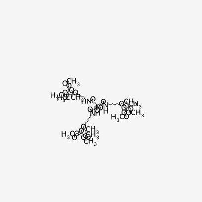 CC(=O)OCC1OC(OCCCCCCNC(=O)CCC(CCC(=O)NCCCCCCOC2OC(COC(C)=O)C(OC(C)=O)C(C)C2C)(CCC(=O)NCCCCCCOC2OC(COC(C)=O)C(OC(C)=O)C(C)C2C)[N+](=O)[O-])C(C)C(C)C1OC(C)=O